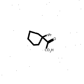 CCCC1(C(=O)C(=O)O)CCCCC1